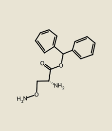 NOC[C@@H](N)C(=O)OC(c1ccccc1)c1ccccc1